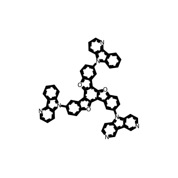 c1ccc2c(c1)c1ncccc1n2-c1ccc2oc3c4c5cc(-n6c7ccncc7c7cnccc76)ccc5oc4c4c5cc(-n6c7ccccc7c7ncccc76)ccc5oc4c3c2c1